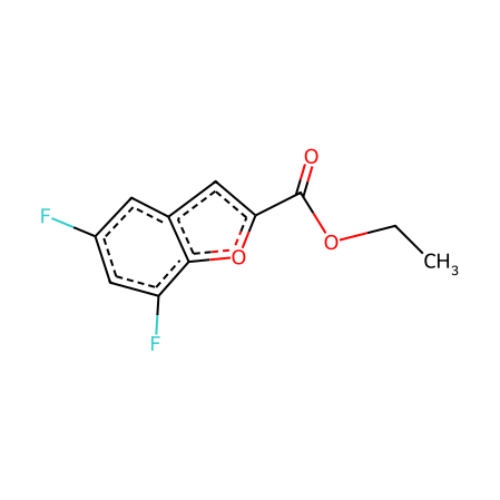 CCOC(=O)c1cc2cc(F)cc(F)c2o1